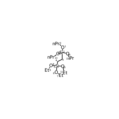 CCCO[Si](CC[Si](OCC)(OCC)OCC)(OCCC)OC(C)C